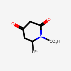 CCCC1CC(=O)CC(=O)N1C(=O)O